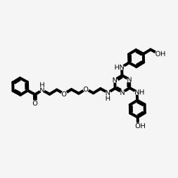 O=C(NCCOCCOCCNc1nc(Nc2ccc(O)cc2)nc(Nc2ccc(CO)cc2)n1)c1ccccc1